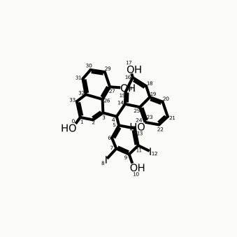 Oc1cc(C(c2cc(I)c(O)c(I)c2)c2cc(O)cc3cccc(O)c23)c2c(O)cccc2c1